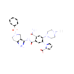 CN1CCN(c2cc(C(N)=O)c(C(=O)Nc3n[nH]c4c3CN(S(=O)(=O)c3ccccc3)CC4)cc2-n2cccc2C(=O)O)CC1